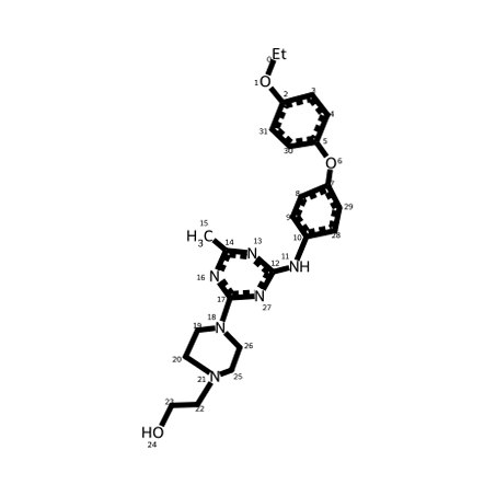 CCOc1ccc(Oc2ccc(Nc3nc(C)nc(N4CCN(CCO)CC4)n3)cc2)cc1